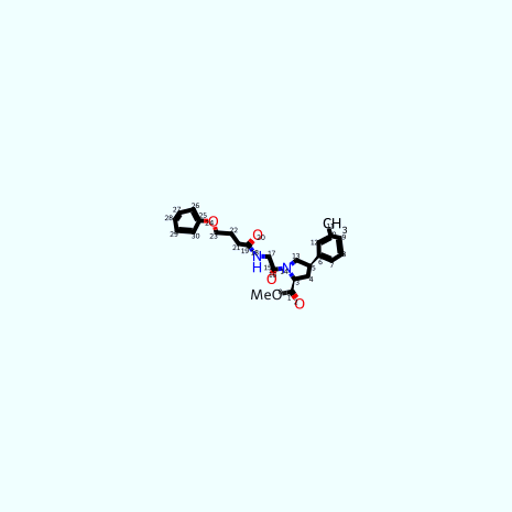 COC(=O)[C@@H]1C[C@H](c2cccc(C)c2)CN1C(=O)CNC(=O)CCCOc1ccccc1